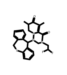 CC1=C2C(=O)N(CC(F)F)CN(C3c4ccccc4CSc4ccccc43)N2CC(C)C1=O